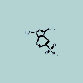 Cc1nn(C)c2ncc(S(N)(=O)=O)cc12